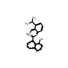 C=C(/N=C1/C=CC=C(C(C)C)/C1=C/C)c1cccc2cccc(O)c12